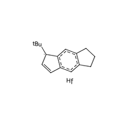 CC(C)(C)[C]1C=Cc2cc3c(cc21)CCC3.[Hf]